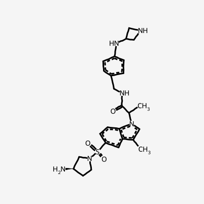 Cc1cn(C(C)C(=O)NCc2ccc(NC3CNC3)cc2)c2ccc(S(=O)(=O)N3CC[C@@H](N)C3)cc12